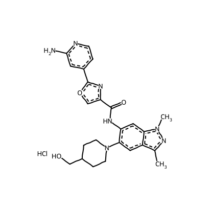 Cc1nn(C)c2cc(NC(=O)c3coc(-c4ccnc(N)c4)n3)c(N3CCC(CO)CC3)cc12.Cl